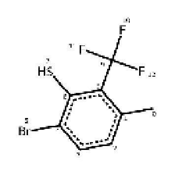 Cc1ccc(Br)c(S)c1C(F)(F)F